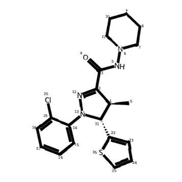 C[C@@H]1C(C(=O)NN2CCCCC2)=NN(c2ccccc2Cl)[C@H]1c1cccs1